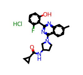 Cc1ccc2c(N3CCC(NC(=O)C4CC4)C3)nc(-c3c(O)cccc3F)nc2c1.Cl